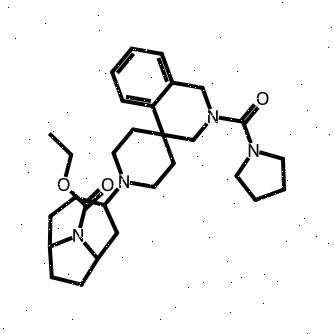 CCOC(=O)N1C2CCC(N3CCC4(CC3)CN(C(=O)N3CCCC3)Cc3ccccc34)CC1CC2